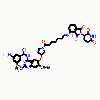 COc1cc2nc(C)nc(N[C@H](C)c3cc(N)cc(C(F)(F)F)c3)c2cc1O[C@H]1CCN(C(=O)CCCCCCNc2cccc3c2C(=O)N(C2CCC(=O)NC2=O)C3=O)C1